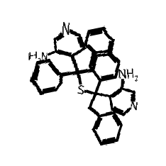 Nc1cnccc1C(Cc1ccccc1)(SC(Cc1ccccc1)(c1ccccc1)c1ccncc1N)c1ccccc1